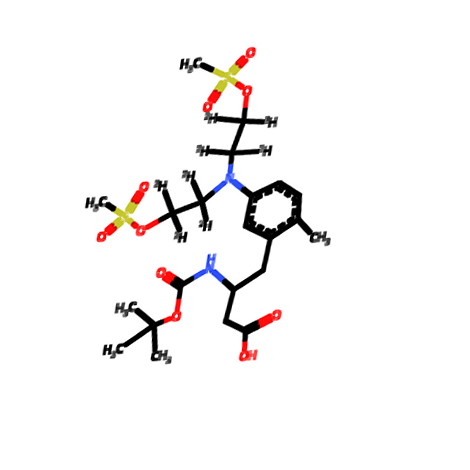 [2H]C([2H])(OS(C)(=O)=O)C([2H])([2H])N(c1ccc(C)c(CC(CC(=O)O)NC(=O)OC(C)(C)C)c1)C([2H])([2H])C([2H])([2H])OS(C)(=O)=O